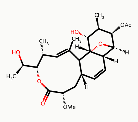 CO[C@H]1C[C@H]2C=C[C@H]3[C@H]4O[C@]2(/C(C)=C/[C@@H](C)[C@@H]([C@@H](C)O)OC1=O)[C@@H]3[C@H](O)[C@@H](C)[C@H]4OC(C)=O